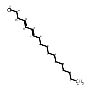 CCCCCCCCCCCC=CC=CCCCl